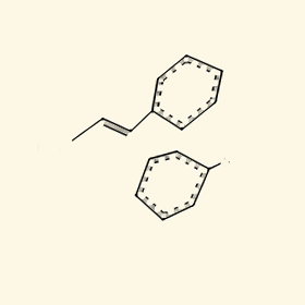 Nc1ccccc1.O=S(=O)(O)C=Cc1ccccc1